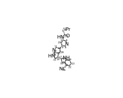 CC(C)CC(=O)Nc1cncc(-c2cnc3[nH]cc(-c4cc5c(C#N)cccc5[nH]4)c3c2)c1